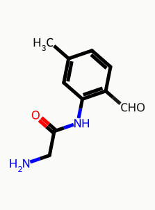 Cc1ccc(C=O)c(NC(=O)CN)c1